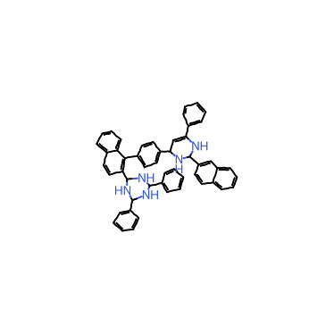 C1=C(c2ccccc2)NC(c2ccc3ccccc3c2)NC1c1ccc(-c2c(C3NC(c4ccccc4)NC(c4ccccc4)N3)ccc3ccccc23)cc1